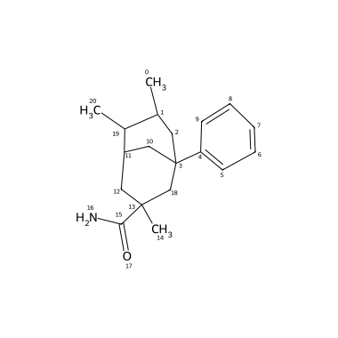 CC1CC2(c3ccccc3)CC(CC(C)(C(N)=O)C2)C1C